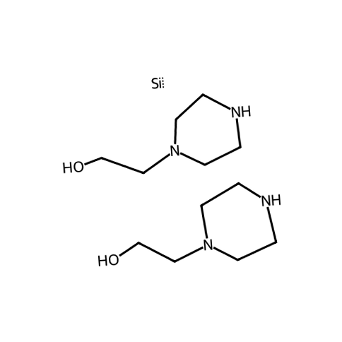 OCCN1CCNCC1.OCCN1CCNCC1.[Si]